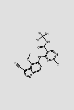 [2H]C([2H])([2H])NC(=O)c1cnc(Cl)nc1Nc1ccn2ncc(C#N)c2c1OC